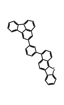 c1cc(-c2cc3c4c(cccc4c2)-c2ccccc2-3)cc(-c2cccc3c2ccc2c4ccccc4sc32)c1